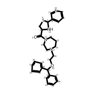 O=C(C1CSC(c2cccnc2)N1)N1CCCN(CCOC(c2ccccc2)c2ccccc2)CC1